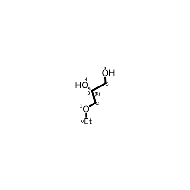 CCOC[C@H](O)CO